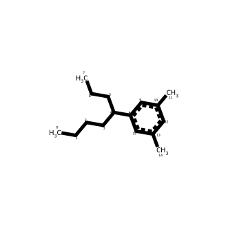 CCCCC(CCC)c1cc(C)cc(C)c1